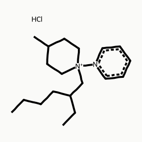 CCCCC(CC)C[N+]1([n+]2ccccc2)CCC(C)CC1.Cl